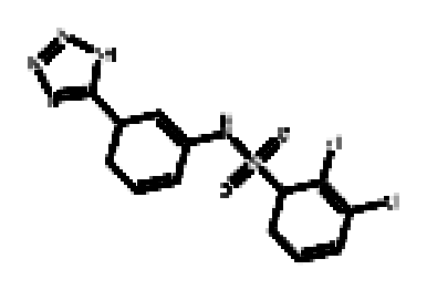 O=S(=O)(NC1=CC(c2nnn[nH]2)CC=C1)C1CC=CC(Cl)=C1Cl